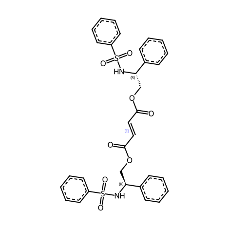 O=C(/C=C/C(=O)OC[C@H](NS(=O)(=O)c1ccccc1)c1ccccc1)OC[C@H](NS(=O)(=O)c1ccccc1)c1ccccc1